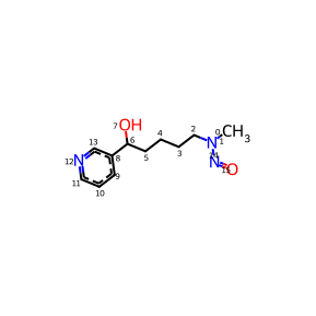 CN(CCCCC(O)c1cccnc1)N=O